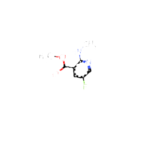 CNc1ncc(F)cc1C(=O)OC